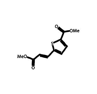 COC(=O)/C=C/c1ccc(C(=O)OC)s1